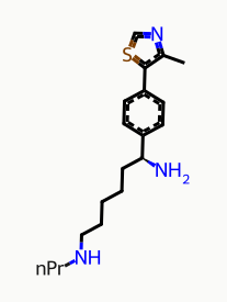 CCCNCCCCC[C@H](N)c1ccc(-c2scnc2C)cc1